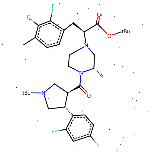 Cc1ccc(C[C@@H](C(=O)OC(C)(C)C)N2CCN(C(=O)[C@@H]3CN(C(C)(C)C)C[C@H]3c3ccc(F)cc3F)[C@@H](C)C2)c(F)c1F